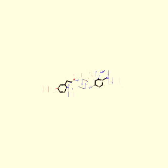 CCC[C@H]1C(=O)N(Cc2ccc3c(N)ncnc3c2)CCN1C(=O)c1cc2cc(O)ccc2[nH]1